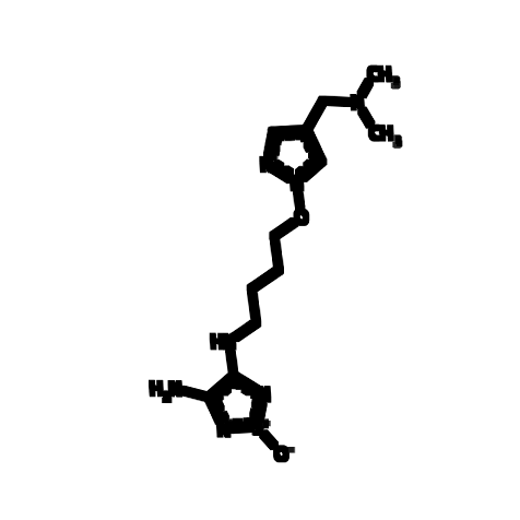 CN(C)Cc1cnn(OCCCCNc2n[s+]([O-])nc2N)c1